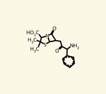 CC1(C)SC2C(CC(=O)C(N)c3ccccc3)C(=O)N2C1C(=O)O